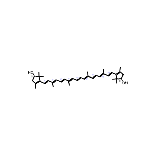 CC1=C(/C=C/C(C)=C/C=C/C(C)=C/C=C/C=C(C)/C=C/C=C(C)/C=C/C2=C(C)C[C@@H](O)C2(C)C)C(C)(C)[C@H](O)C1